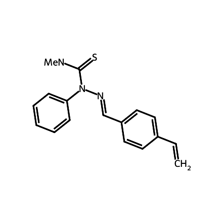 C=Cc1ccc(C=NN(C(=S)NC)c2ccccc2)cc1